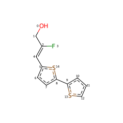 OCC(F)=Cc1ccc(-c2cccs2)s1